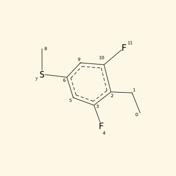 CCc1c(F)cc(SC)cc1F